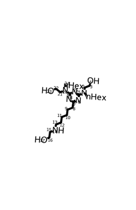 CCCCCCN(CCO)c1nc(CCCCCCNCCO)nc(N(CCO)CCCCCC)n1